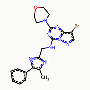 Cc1[nH]c(CNc2nc(N3CCOCC3)nc3c(Br)cnn23)nc1-c1ccccc1